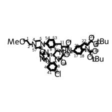 COCCN1CCN(c2ccc(C[C@@H](C(=O)Nc3ccc4c(c3)cc(C(=O)OC(C)(C)C)n4C(=O)OC(C)(C)C)N3CCN(c4cc(Cl)ccc4-n4cnnn4)C(=O)C3=O)cc2)C(=O)C1